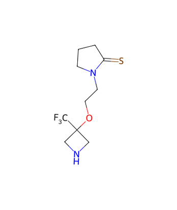 FC(F)(F)C1(OCCN2CCCC2=S)CNC1